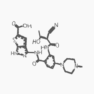 CC(O)=C(C#N)C(=O)Nc1cc(N2CCN(C)CC2)ccc1C(=O)Nc1n[nH]c2sc(C(=O)O)cc12